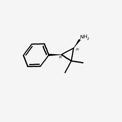 CC1(C)[C@H](N)[C@@H]1c1ccccc1